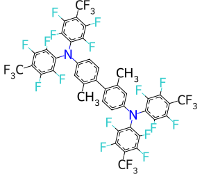 Cc1cc(N(c2c(F)c(F)c(C(F)(F)F)c(F)c2F)c2c(F)c(F)c(C(F)(F)F)c(F)c2F)ccc1-c1ccc(N(c2c(F)c(F)c(C(F)(F)F)c(F)c2F)c2c(F)c(F)c(C(F)(F)F)c(F)c2F)cc1C